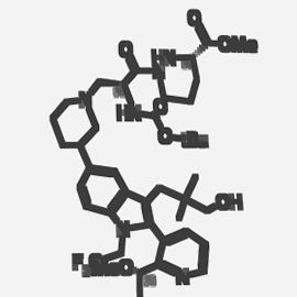 COC(=O)[C@@H]1CCCN(C(=O)[C@H](CN2CCCC(c3ccc4c(c3)c(CC(C)(C)CO)c(-c3cccnc3[C@H](C)OC)n4CC(F)(F)F)C2)NC(=O)OC(C)(C)C)N1